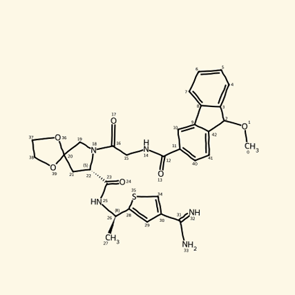 COC1c2ccccc2-c2cc(C(=O)NCC(=O)N3CC4(C[C@H]3C(=O)N[C@H](C)c3cc(C(=N)N)cs3)OCCO4)ccc21